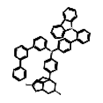 C[C@H]1CC2C[C@@H]3C=C2C(c2ccc(N(c4ccc(-c5ccccc5-n5c6ccccc6c6ccccc65)cc4)c4cccc(-c5cccc(-c6ccccc6)c5)c4)cc2)(C1)C3